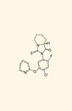 O=C1[C@H]2CCCCN2C(=S)N1c1cc(Oc2ccccn2)c(Cl)cc1F